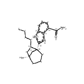 CCCCN1C[C@@H]2CCC[C@@]1(c1nc3c(C(N)=O)cccc3[nH]1)C2